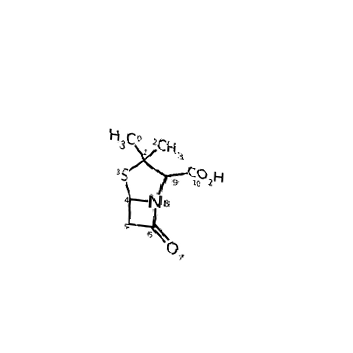 CC1(C)SC2[CH]C(=O)N2C1C(=O)O